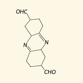 O=CC1CCC2=NC3CC(C=O)CCC3=NC2C1